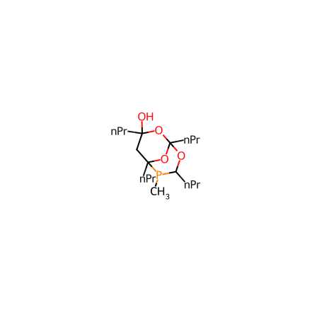 CCCC1OC2(CCC)OC(O)(CCC)CC(CCC)(O2)P1C